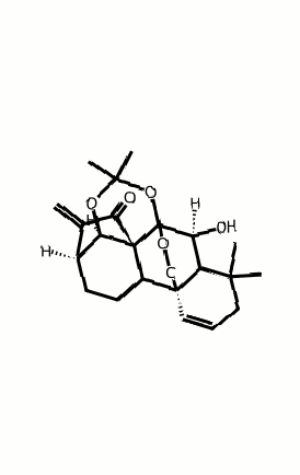 C=C1C(=O)[C@@]23C4CC[C@@H]1[C@H]2OC(C)(C)OC31OC[C@]42C=CCC(C)(C)C2[C@@H]1O